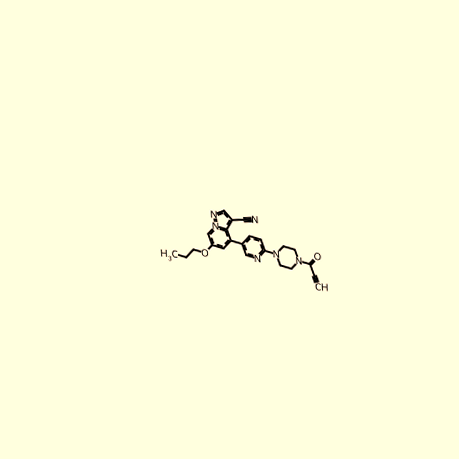 C#CC(=O)N1CCN(c2ccc(-c3cc(OCCC)cn4ncc(C#N)c34)cn2)CC1